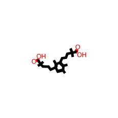 Cc1cc(CCCC(C)(C)C(=O)O)c(C)c(CCCC(C)(C)C(=O)O)c1C